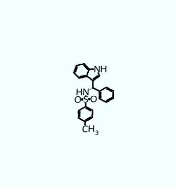 Cc1ccc(S(=O)(=O)N[C@@H](c2ccccc2)c2c[nH]c3ccccc23)cc1